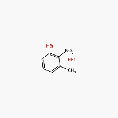 Br.Br.Cc1ccccc1[N+](=O)[O-]